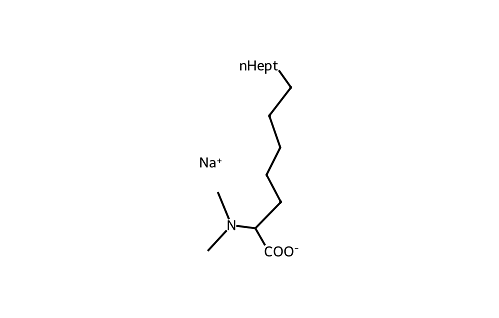 CCCCCCCCCCCCC(C(=O)[O-])N(C)C.[Na+]